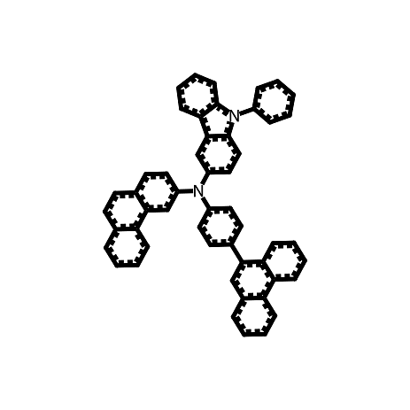 c1ccc(-n2c3ccccc3c3cc(N(c4ccc(-c5cc6ccccc6c6ccccc56)cc4)c4ccc5ccc6ccccc6c5c4)ccc32)cc1